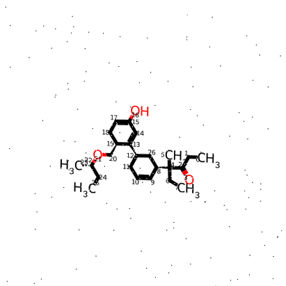 CCC(=O)C(C)(CC)[C@H]1C=CC[C@@H](C2=CC(O)=CC[C@@H]2CO[C@@H](C)CC)C1